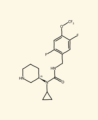 O=C(NCc1cc(F)c(OC(F)(F)F)cc1F)N(C1CC1)[C@@H]1CCCNC1